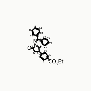 CCOC(=O)c1ccc(C2CC(=O)N(N=C(c3ccccc3)c3ccccc3)C2)cc1